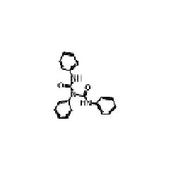 O=C(Nc1ccccc1)N(C(=O)Nc1ccccc1)c1ccccc1